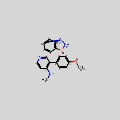 CNc1ccncc1-c1ccc(OC)cc1.c1cc2cc3c1o[nH]n2-3